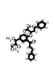 COC(=O)C(C)c1ccc(OC(CCc2ccccc2)C(=O)O)c(C(=O)/C=C/c2ccccc2)c1